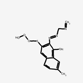 C=NCN=Nc1c(SOOO)cc2ccc(C)cc2c1O